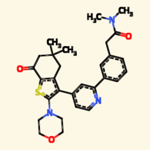 CN(C)C(=O)Cc1cccc(-c2cc(-c3c(N4CCOCC4)sc4c3CC(C)(C)CC4=O)ccn2)c1